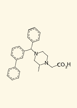 CC1CN(C(c2ccccc2)c2cccc(-c3ccccc3)c2)CCN1CC(=O)O